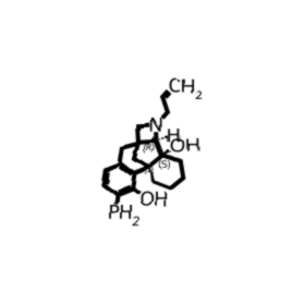 C=CCN1CC23Cc4ccc(P)c(O)c4[C@]4(CCCC[C@@]4(O)[C@H]12)C3